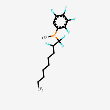 CCCCP(c1cc(F)c(F)c(F)c1F)C(F)(F)C(F)CCCCCCC(F)(F)F